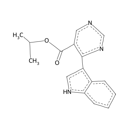 CC(C)OC(=O)c1cncnc1-c1c[nH]c2ccccc12